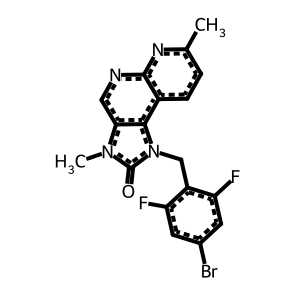 Cc1ccc2c(ncc3c2n(Cc2c(F)cc(Br)cc2F)c(=O)n3C)n1